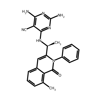 Cc1cccc2cc([C@H](C)Nc3nc(N)nc(N)c3C#N)n(-c3ccccc3)c(=O)c12